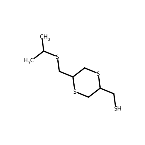 CC(C)SCC1CSC(CS)CS1